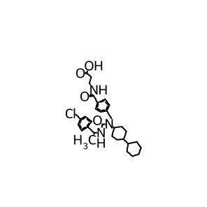 CC(NC(=O)N(Cc1ccc(C(=O)NCCC(=O)O)cc1)C1CCC(C2CCCCC2)CC1)c1ccc(Cl)cc1